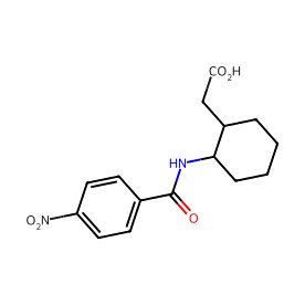 O=C(O)CC1CCCCC1NC(=O)c1ccc([N+](=O)[O-])cc1